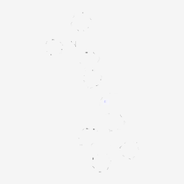 [2H]/C(=C(/[2H])c1ccc2cc(N(c3ccccc3)c3ccccc3)ccc2c1)c1ccc2c(c1)C(c1ccccc1)(c1ccccc1)c1ccccc1-2